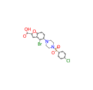 O=C(O)c1cc2c(Br)c(N3CCN(S(=O)(=O)c4ccc(Cl)cc4)CC3)ccc2o1